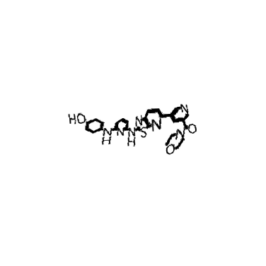 O=C(c1cncc(-c2ccc3nc(Nc4cccc(N[C@H]5CC[C@H](O)CC5)n4)sc3n2)c1)N1CCOCC1